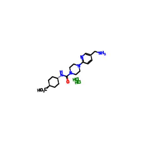 Cl.Cl.NCc1ccc(N2CCN(C(=O)N[C@H]3CC[C@H](C(=O)O)CC3)CC2)nc1